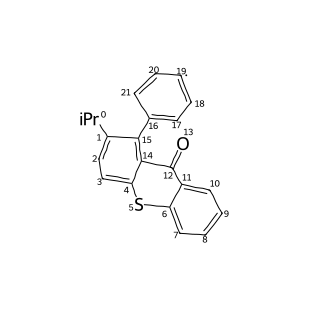 CC(C)c1ccc2sc3ccccc3c(=O)c2c1-c1cc[c]cc1